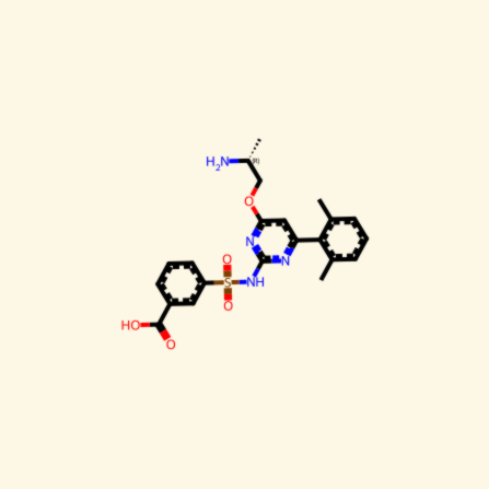 Cc1cccc(C)c1-c1cc(OC[C@@H](C)N)nc(NS(=O)(=O)c2cccc(C(=O)O)c2)n1